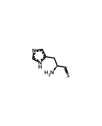 N[C@H]([C]=S)Cc1cnc[nH]1